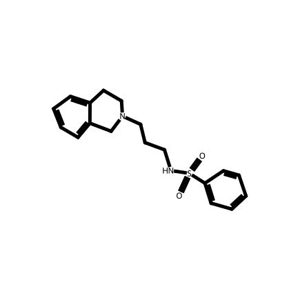 O=S(=O)(NCCCN1CCc2ccccc2C1)c1ccccc1